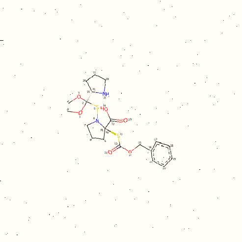 COC(OC)(SN1CCC[C@@]1(SC(=O)OCc1ccccc1)C(=O)O)[C@@H]1CCCN1